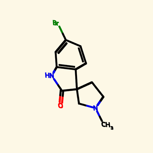 CN1CCC2(C1)C(=O)Nc1cc(Br)ccc12